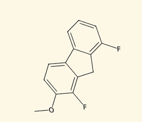 COc1ccc2c(c1F)Cc1c(F)cccc1-2